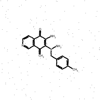 C=C1C(N(N)Cc2ccc(C)cc2)=C(N)C(=O)c2ccncc21